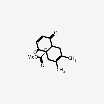 COC(=O)[C@@]12CC(C)=C(C)CC1C(=O)C=CC2=O